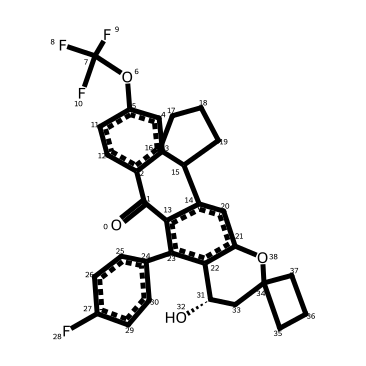 O=C(c1ccc(OC(F)(F)F)cc1)c1c(C2CCCC2)cc2c(c1-c1ccc(F)cc1)[C@@H](O)CC1(CCC1)O2